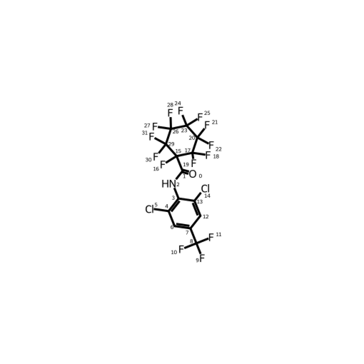 O=C(Nc1c(Cl)cc(C(F)(F)F)cc1Cl)C1(F)C(F)(F)C(F)(F)C(F)(F)C(F)(F)C1(F)F